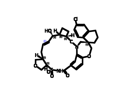 O=C1NS(=O)(=O)[C@H]2COC[C@@H]2C/C=C/[C@H](O)[C@@H]2CC[C@H]2CN2C[C@@]3(CCCc4cc(Cl)ccc43)COc3ccc1cc32